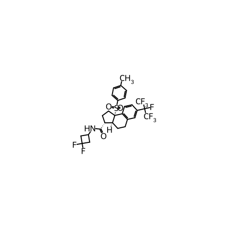 Cc1ccc(S(=O)(=O)[C@@]23CC[C@@H](C(=O)NC4CC(F)(F)C4)[C@@H]2CCc2cc(C(F)(C(F)(F)F)C(F)(F)F)ccc23)cc1